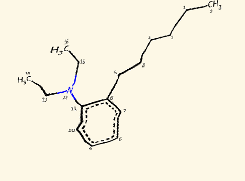 CCCCCCc1ccccc1N(CC)CC